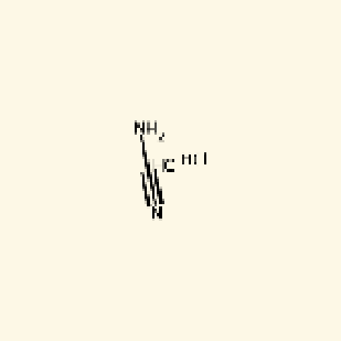 Cl.Cl.N#CN